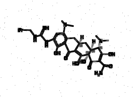 CC(C)CNC(=N)Nc1cc(N(C)C)c2c(c1O)C(=O)C1=C(O)[C@]3(O)C(=O)C(C(N)=O)=C(O)[C@@H](N(C)C)[C@@H]3C[C@@H]1C2